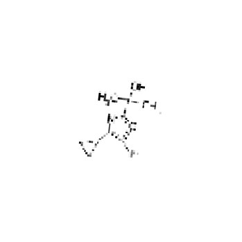 CC(C)c1oc(C(C)(C)O)nc1C1CC1